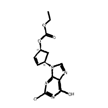 CCOC(=O)O[C@@H]1C=C[C@H](n2cnc3c(O)nc(Cl)nc32)C1